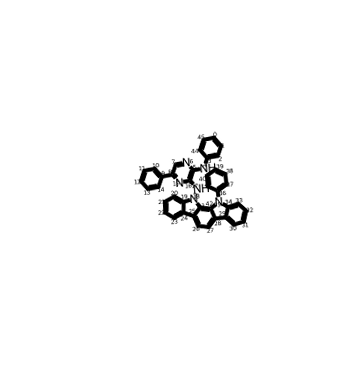 c1ccc(Nc2ncc(-c3ccccc3)nc2Nn2c3ccccc3c3ccc4c5ccccc5n(-c5ccccc5)c4c32)cc1